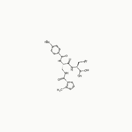 CCCCc1ccc(C(=O)N[C@@H](CNC(=O)c2cccn2C)C(=O)N[C@@H](CC(C)C)B(O)O)cc1